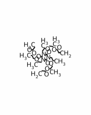 C=CC(=O)OC(C)COC(C)Cn1c(=O)n(CC(C)OCC(C)OC(=O)C=C)c(=O)n(CC(C)OCC(C)OC(=O)C=C)c1=O